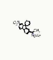 CC(=O)O/N=C(\C)c1ccc2c(c1)C1(CCCCC1)c1cc([N+](=O)[O-])ccc1-2